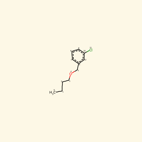 CCCCOCc1cccc(Cl)c1